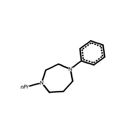 CCCN1CCCN(c2ccccc2)CC1